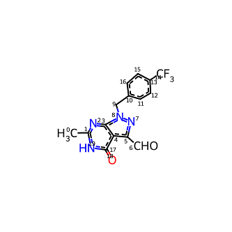 Cc1nc2c(c(C=O)nn2Cc2ccc(C(F)(F)F)cc2)c(=O)[nH]1